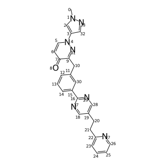 Cn1cc(-n2ccc(=O)c(Cc3cccc(-c4ncc(CCc5ccccn5)cn4)c3)n2)cn1